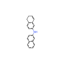 C1=Cc2cc(Nc3ccc4ccccc4c3)ccc2CC1